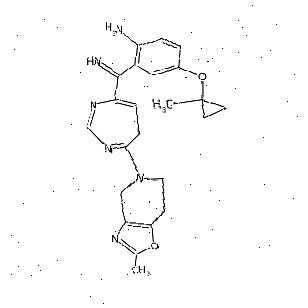 Cc1nc2c(o1)CCN(C1=NC=NC(C(=N)c3cc(OC4(C)CC4)ccc3N)=CC1)C2